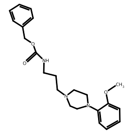 COc1ccccc1N1CCN(CCCNC(=O)OCc2ccccc2)CC1